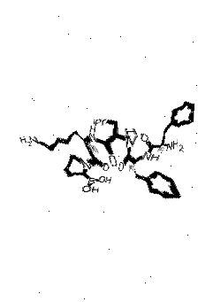 CC(C)CC(NC(=O)[C@@H](Cc1ccccc1)NC(=O)[C@H](N)Cc1ccccc1)C(=O)N[C@H](CCCCN)C(=O)N1CCCC1B(O)O